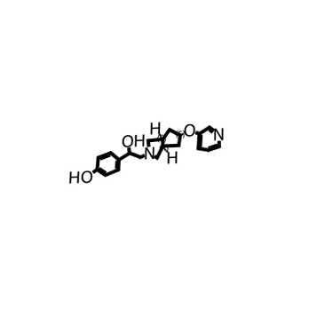 Oc1ccc(C(O)CN2C[C@H]3C[C@H](Oc4cccnc4)C[C@H]3C2)cc1